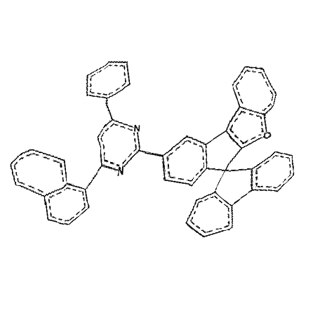 c1ccc(-c2cc(-c3cccc4ccccc34)nc(-c3ccc4c(c3)-c3c(oc5ccccc35)C43c4ccccc4-c4ccccc43)n2)cc1